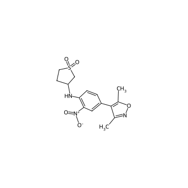 Cc1noc(C)c1-c1ccc(NC2CCS(=O)(=O)C2)c([N+](=O)[O-])c1